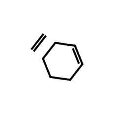 C1=CCCCC1.C=C